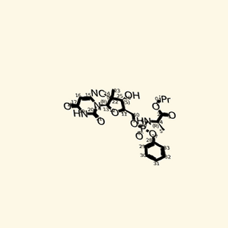 CC(C)OC(=O)[C@@H](C)N[P@@](=O)(OC[C@H]1O[C@@H](n2ccc(=O)[nH]c2=O)[C@](C)(C#N)[C@@H]1O)Oc1ccccc1